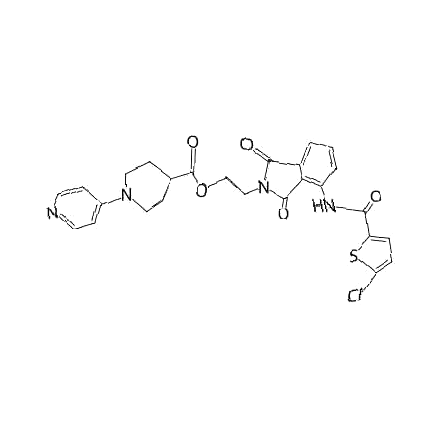 O=C(Nc1cccc2c1C(=O)N(CCOC(=O)C1CCN(c3ccncc3)CC1)C2=O)c1ccc(Cl)s1